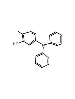 Cc1ccc(N(c2ccccc2)c2ccccc2)cc1O